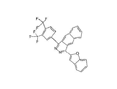 FC(F)(F)c1ccc(-c2nnc(-c3cc4ccccc4o3)c3cc4ccccc4cc23)cc1C(F)(F)F